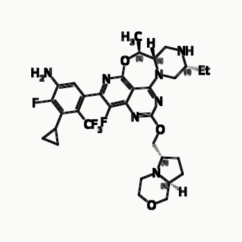 CC[C@@H]1CN2c3nc(OC[C@@H]4CC[C@H]5COCCN54)nc4c(F)c(-c5cc(N)c(F)c(C6CC6)c5C(F)(F)F)nc(c34)O[C@@H](C)[C@@H]2CN1